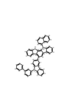 c1ccc(-c2cccc(-n3c4ccccc4c4cc(-c5cc6c7ccccc7n(-c7cccc8ccccc78)c6c6sc7ccccc7c56)ccc43)c2)cc1